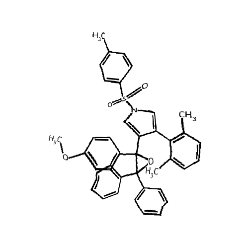 COc1ccc(C2(c3cn(S(=O)(=O)c4ccc(C)cc4)cc3-c3c(C)cccc3C)OC2(c2ccccc2)c2ccccc2)cc1